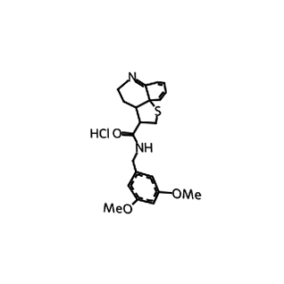 COc1cc(CNC(=O)C2CSC34C=CC=CC3=NCCC24)cc(OC)c1.Cl